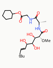 CO[C@@H](C(=O)N[C@@H](C)C(=O)NCC(=O)OC1CCCCC1)[C@H](O)[C@@H](O)[C@H](O)/C=C/C(C)(C)C